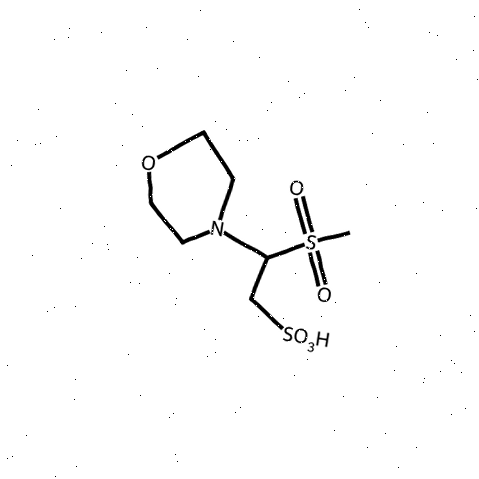 CS(=O)(=O)C(CS(=O)(=O)O)N1CCOCC1